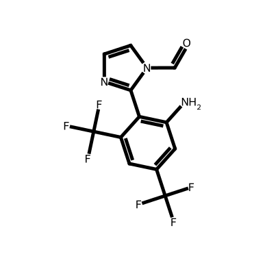 Nc1cc(C(F)(F)F)cc(C(F)(F)F)c1-c1nccn1C=O